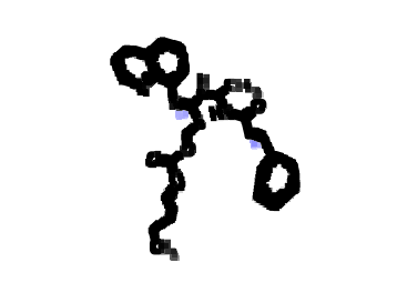 CCCCOC(=O)OCS/C(=N/c1cccc2cccnc12)NC(C)NC(=O)/C=C/c1ccccc1